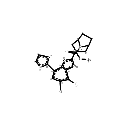 CC(C)(C)OC(=O)N1C2CCC1CN(c1nc3c(C(F)(F)F)c(Cl)cc(-c4nccs4)c3o1)C2